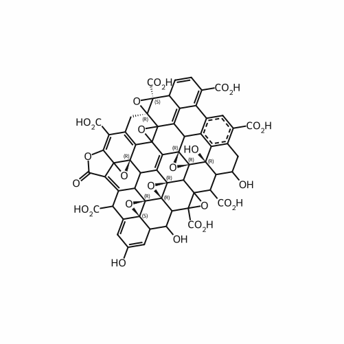 O=C(O)C1=C2C3=C4C5c6c2cc(C(=O)O)c2c6[C@]6(O)C(C(O)C2)C(C(=O)O)C27OC2(C(=O)O)C2C(O)C8C=C(O)C=C9C(C(=O)O)C%10=C%11C(=O)OC%12=C(C(=O)O)C%13=C%14C%15(OC4%15[C@@]4(C%13)O[C@@]4(C(=O)O)C3C=C1)C1=C3C(C%10[C@]4(O[C@]984)[C@@]24O[C@]34C7[C@@]62O[C@@]152)[C@@]%141OC%12%111